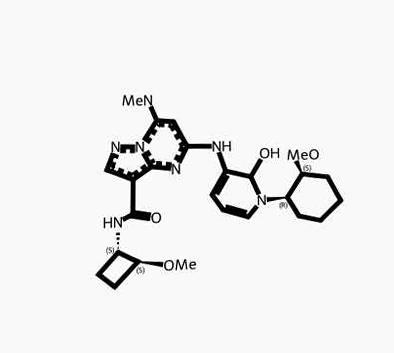 CNc1cc(NC2=CC=CN([C@@H]3CCCC[C@@H]3OC)C2O)nc2c(C(=O)N[C@H]3CC[C@@H]3OC)cnn12